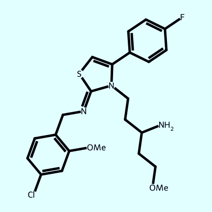 COCCC(N)CCn1c(-c2ccc(F)cc2)csc1=NCc1ccc(Cl)cc1OC